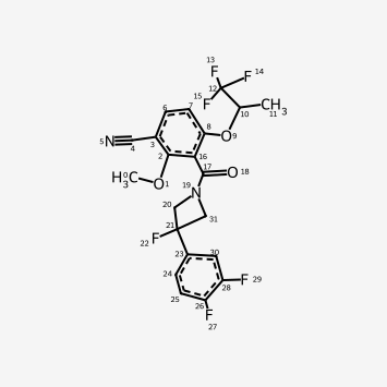 COc1c(C#N)ccc(OC(C)C(F)(F)F)c1C(=O)N1CC(F)(c2ccc(F)c(F)c2)C1